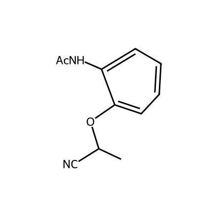 CC(=O)Nc1ccccc1OC(C)C#N